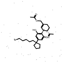 C=C(C)[C@H]1CCC(COC(C)=O)=C[C@@H]1c1c(O)cc(C2(CCCCCBr)CCCC2)cc1O